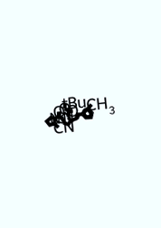 Cc1cccc(/C=C/C2CCC(C(=O)N3CCCC3C#N)N2C(=O)OC(C)(C)C)c1